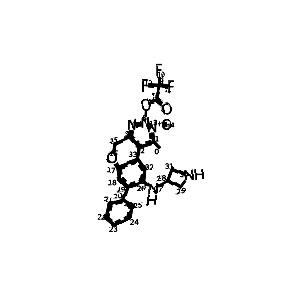 Cc1c2c(nn(OC(=O)C(F)(F)F)[n+]1=O)COc1cc(-c3ccccc3)c(NC3CNC3)cc1-2